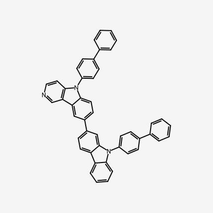 c1ccc(-c2ccc(-n3c4ccncc4c4cc(-c5ccc6c7ccccc7n(-c7ccc(-c8ccccc8)cc7)c6c5)ccc43)cc2)cc1